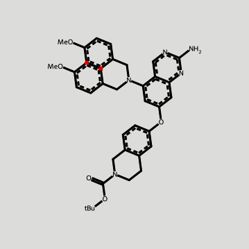 COc1ccc(CN(Cc2ccc(OC)cc2)c2cc(Oc3ccc4c(c3)CCN(C(=O)OC(C)(C)C)C4)cc3nc(N)ncc23)cc1